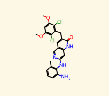 COc1cc(OC)c(Cl)c(Cc2cc3cnc(Nc4c(C)cccc4N)cc3[nH]c2=O)c1Cl